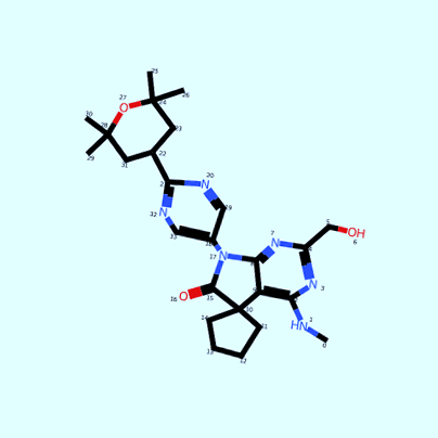 CNc1nc(CO)nc2c1C1(CCCC1)C(=O)N2c1cnc(C2CC(C)(C)OC(C)(C)C2)nc1